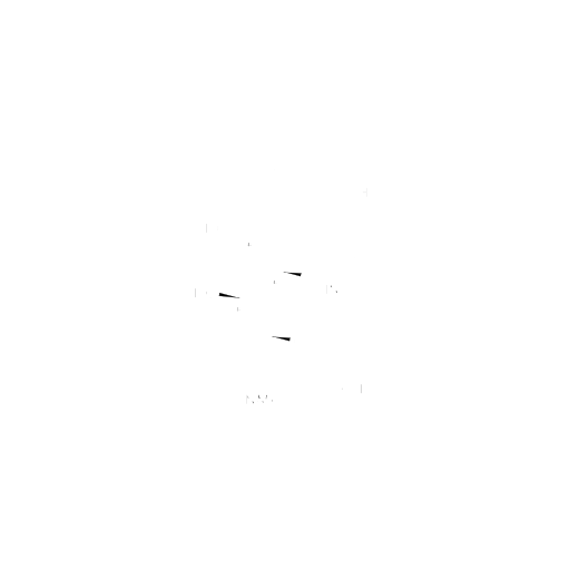 CNC[C@H](O)[C@@H](O)[C@H](O)[C@H](O)CO.OCCNCCO